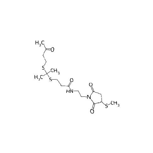 CSC1CC(=O)N(CCNC(=O)CCSC(C)(C)SCCC(C)=O)C1=O